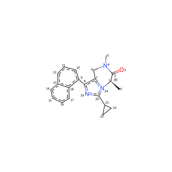 C[C@@H]1C(=O)N(C)Cc2c(-c3cccc4ccccc34)nc(C3CC3)n21